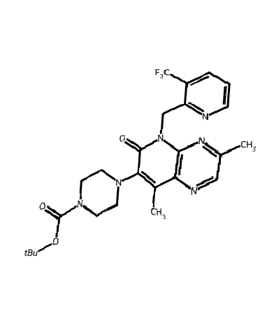 Cc1cnc2c(C)c(N3CCN(C(=O)OC(C)(C)C)CC3)c(=O)n(Cc3ncccc3C(F)(F)F)c2n1